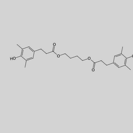 Cc1cc(CCC(=O)OCCCCOC(=O)CCc2cc(C)c(O)c(C)c2)cc(C)c1O